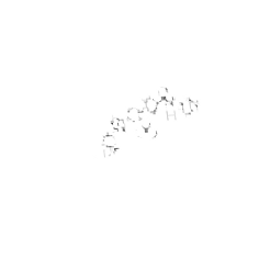 O=C(O)Oc1cc(-c2nc(-c3ccc(Cl)c(Cl)c3)cs2)ccc1-c1ccc(C(=O)NCc2cccnc2)cc1